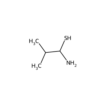 CC(C)C(N)S